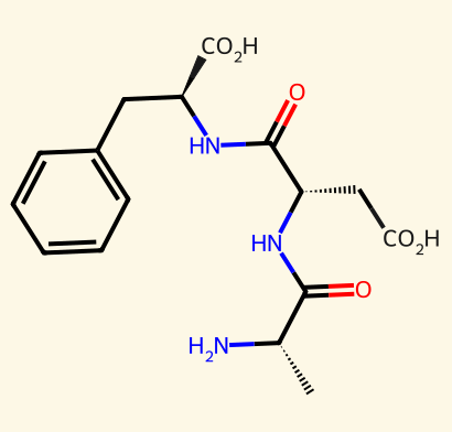 C[C@H](N)C(=O)N[C@@H](CC(=O)O)C(=O)N[C@@H](Cc1ccccc1)C(=O)O